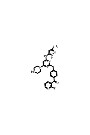 Cc1cc(Nc2cc(N3CCNCC3)nc(Cc3ccc(C(=O)c4cccnc4F)cc3)n2)[nH]n1